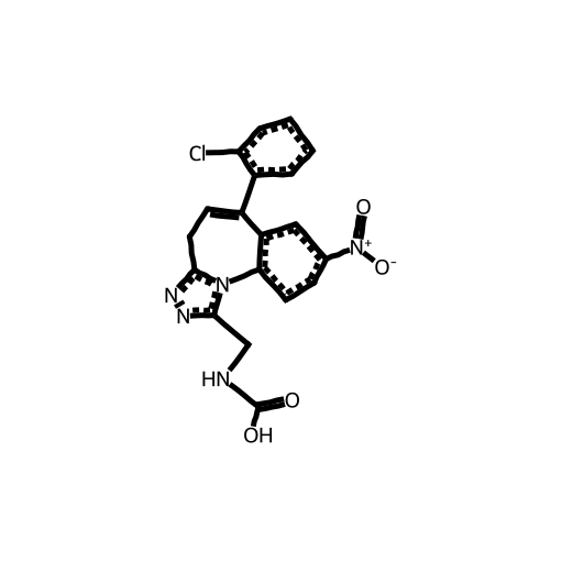 O=C(O)NCc1nnc2n1-c1ccc([N+](=O)[O-])cc1C(c1ccccc1Cl)=CC2